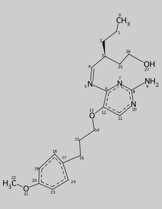 CCC[C@H](/C=N\c1nc(N)ncc1OCCCc1ccc(OC)cc1)CCO